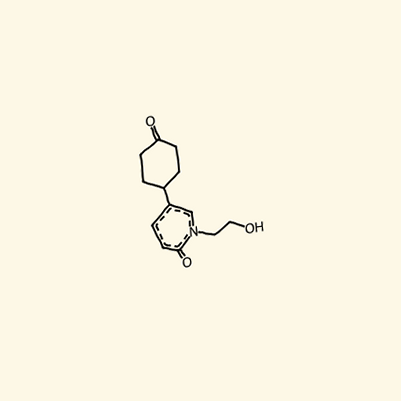 O=C1CCC(c2ccc(=O)n(CCO)c2)CC1